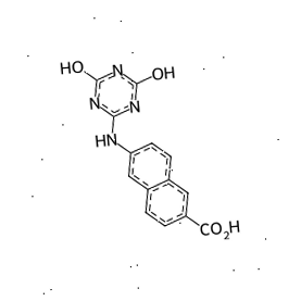 O=C(O)c1ccc2cc(Nc3nc(O)nc(O)n3)ccc2c1